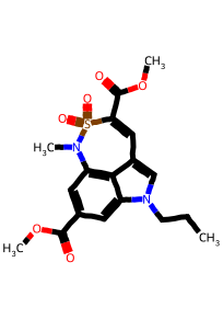 CCCn1cc2c3c(cc(C(=O)OC)cc31)N(C)S(=O)(=O)C(C(=O)OC)=C2